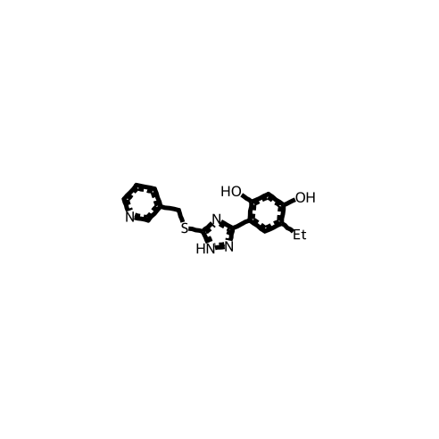 CCc1cc(-c2n[nH]c(SCc3cccnc3)n2)c(O)cc1O